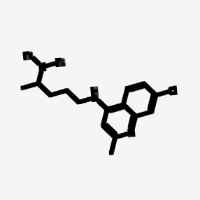 CCN(CC)C(C)CCCNc1cc(C)nc2cc(Cl)ccc12